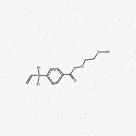 C=C[Si](CC)(CC)c1ccc(C(=O)OO[CH]COCCC)cc1